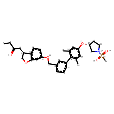 CCC(=O)C[C@@H]1COc2cc(OCc3cccc(-c4c(C)cc(O[C@@H]5CCN(S(C)(=O)=O)C5)cc4C)c3)ccc21